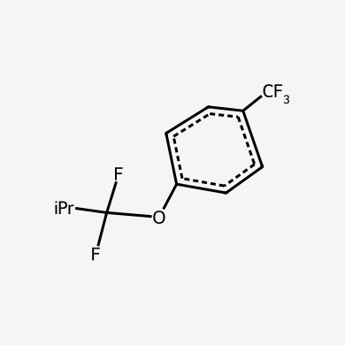 CC(C)C(F)(F)Oc1ccc(C(F)(F)F)cc1